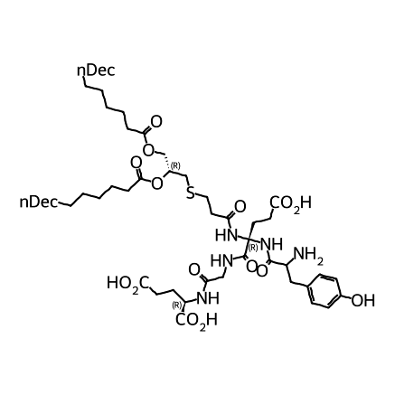 CCCCCCCCCCCCCCCC(=O)OC[C@H](CSCCC(=O)N[C@](CCC(=O)O)(NC(=O)C(N)Cc1ccc(O)cc1)C(=O)NCC(=O)N[C@H](CCC(=O)O)C(=O)O)OC(=O)CCCCCCCCCCCCCCC